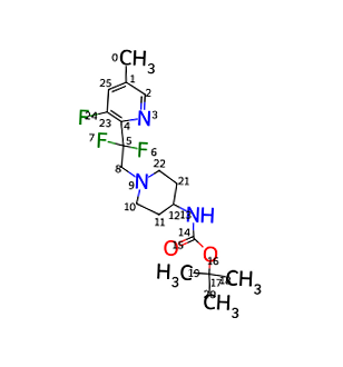 Cc1cnc(C(F)(F)CN2CCC(NC(=O)OC(C)(C)C)CC2)c(F)c1